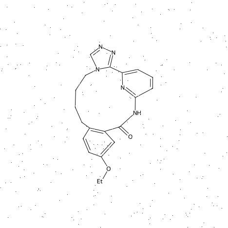 CCOc1ccc2c(c1)C(=O)Nc1cccc(n1)-c1nncn1CCCC2